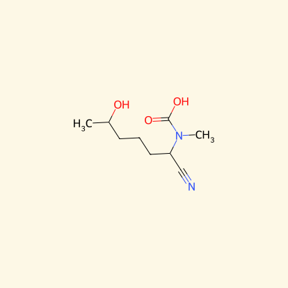 CC(O)CCCC(C#N)N(C)C(=O)O